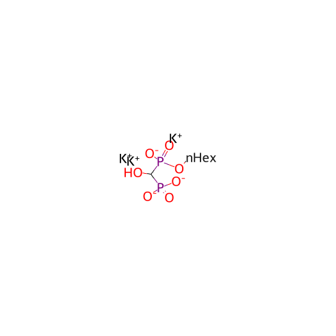 CCCCCCOP(=O)([O-])C(O)P(=O)([O-])[O-].[K+].[K+].[K+]